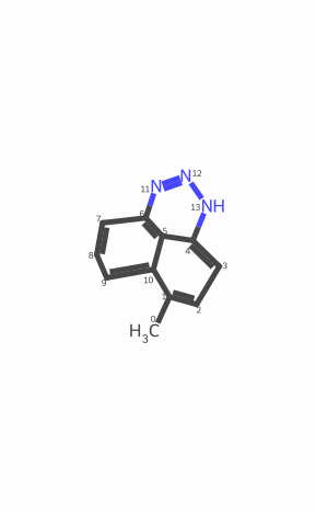 Cc1ccc2c3c(cccc13)N=NN2